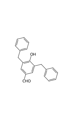 O=Cc1cc(Cc2ccccc2)c(O)c(Cc2ccccc2)c1